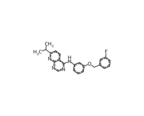 CC(C)c1ccc2c(Nc3cccc(OCc4cccc(F)c4)c3)ncnc2n1